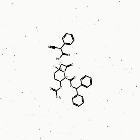 CC(=O)OC1CS[C@@H]2[C@H](NC(=O)C(C#N)c3ccccc3)C(=O)N2[C@H]1C(=O)OC(c1ccccc1)c1ccccc1